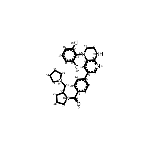 O=C(c1ccc(-c2cnc3c(c2)N(c2c(Cl)cccc2Cl)CCN3)cc1)N1CCCC1CN1CCCC1